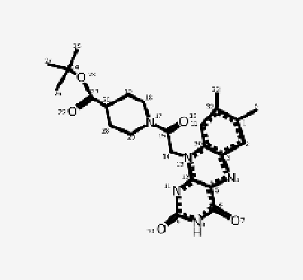 Cc1cc2nc3c(=O)[nH]c(=O)nc-3n(CC(=O)N3CCC(C(=O)OC(C)(C)C)CC3)c2cc1C